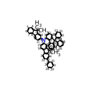 CC1(C)c2ccccc2-c2ccc(N(c3ccc4c(c3)C(C)(C)c3cc(-c5ccccc5)ccc3-4)c3cccc4c3-c3ccccc3C4(c3ccccc3)c3ccccc3)cc21